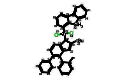 Cc1ccccc1-c1c(-c2ccccc2)ccc2c1C=C(C(C)(C)C)[CH]2[Zr]([Cl])([Cl])[c]1cccc2c1[SiH2]c1ccccc1-2